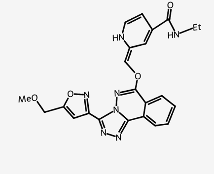 CCNC(=O)C1=CC(=COc2nn3c(-c4cc(COC)on4)nnc3c3ccccc23)NC=C1